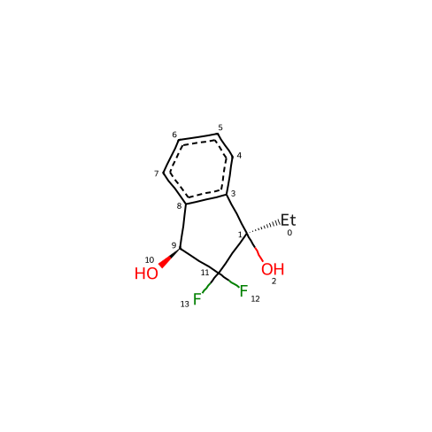 CC[C@@]1(O)c2ccccc2[C@H](O)C1(F)F